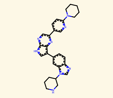 c1cc(N2CCCCC2)ncc1-c1cnc2[nH]cc(-c3ccc4ncn(C5CCCNC5)c4c3)c2n1